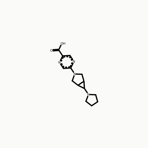 O=C(O)c1cnc(N2CC3C(C2)C3N2CCCC2)cn1